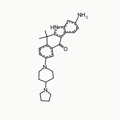 CC1(C)c2ccc(N3CCC(N4CCCC4)CC3)cc2C(=O)c2c1[nH]c1cc(N)ccc21